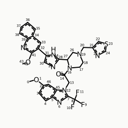 COc1ccc2nc(C(F)(F)F)n(CC(=O)N3CCN(Cc4cscn4)CC3c3ncc(-c4cc5ccccc5nc4OC)[nH]3)c2c1